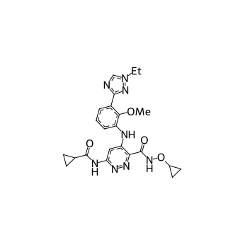 CCn1cnc(-c2cccc(Nc3cc(NC(=O)C4CC4)nnc3C(=O)NOC3CC3)c2OC)n1